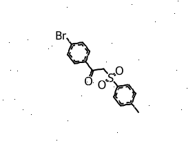 Cc1ccc(S(=O)(=O)CC(=O)c2ccc(Br)cc2)cc1